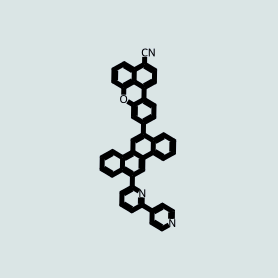 N#Cc1ccc2c3c(cccc13)Oc1cc(-c3cc4c5ccccc5c(-c5cccc(-c6ccncc6)n5)cc4c4ccccc34)ccc1-2